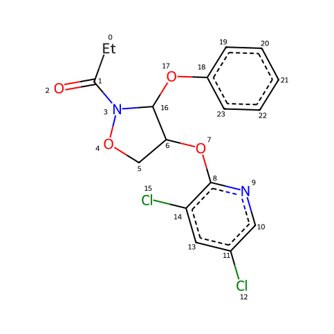 CCC(=O)N1OCC(Oc2ncc(Cl)cc2Cl)C1Oc1ccccc1